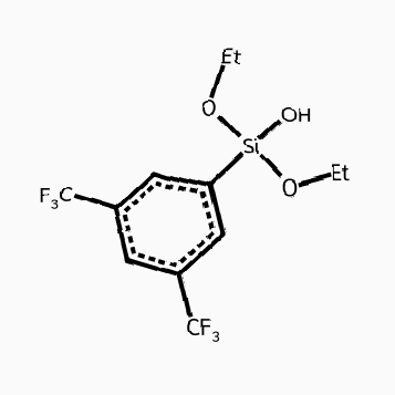 CCO[Si](O)(OCC)c1cc(C(F)(F)F)cc(C(F)(F)F)c1